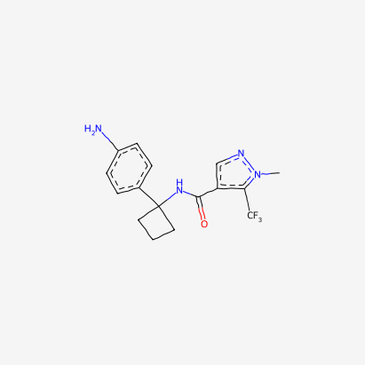 Cn1ncc(C(=O)NC2(c3ccc(N)cc3)CCC2)c1C(F)(F)F